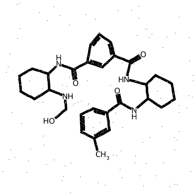 Cc1cccc(C(=O)NC2CCCCC2NC(=O)c2cccc(C(=O)NC3CCCCC3NCO)c2)c1